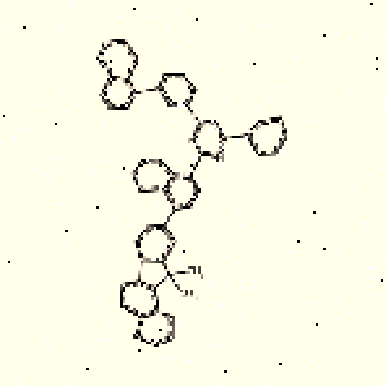 CC1(C)c2cc(-c3ccc(-c4nc(-c5ccccc5)cc(-c5cccc(-c6cccc7ccccc67)c5)n4)c4ccccc34)ccc2-c2ccc3ccccc3c21